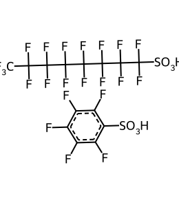 O=S(=O)(O)C(F)(F)C(F)(F)C(F)(F)C(F)(F)C(F)(F)C(F)(F)C(F)(F)C(F)(F)F.O=S(=O)(O)c1c(F)c(F)c(F)c(F)c1F